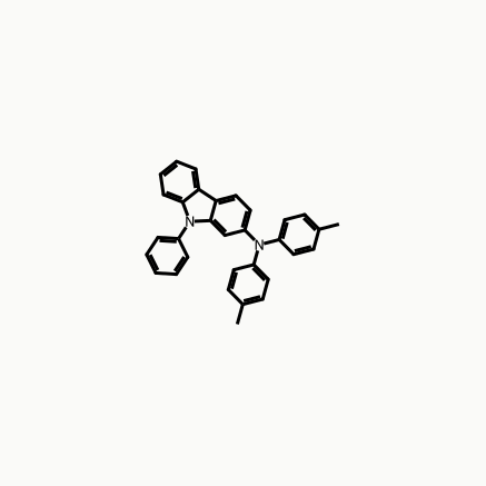 Cc1ccc(N(c2ccc(C)cc2)c2ccc3c4ccccc4n(-c4ccccc4)c3c2)cc1